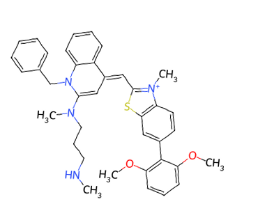 CNCCCN(C)C1=CC(=Cc2sc3cc(-c4c(OC)cccc4OC)ccc3[n+]2C)c2ccccc2N1Cc1ccccc1